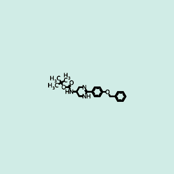 CC(C)(C)OC(=O)NC1CN=C(c2ccc(OCc3ccccc3)cc2)NC1